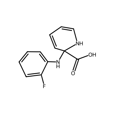 O=C(O)C1(Nc2ccccc2F)C=CC=CN1